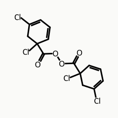 O=C(OOC(=O)C1(Cl)C=CC=C(Cl)C1)C1(Cl)C=CC=C(Cl)C1